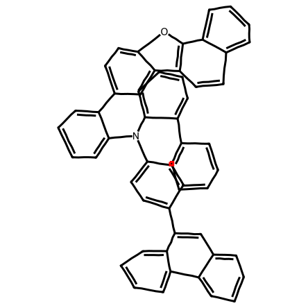 c1ccc(-c2ccccc2N(c2ccc(-c3cc4ccccc4c4ccccc34)cc2)c2ccccc2-c2ccc3oc4c5ccccc5ccc4c3c2)cc1